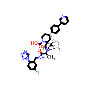 CC(NC(=O)[C@]1(C(C)(C)C)C[C@@H](c2ccc(-c3cccnc3)cc2)CCN1C(=O)O)C(=O)NCc1cc(Cl)ccc1-n1cnnn1